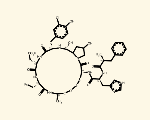 CC(C)C[C@@H]1NC(=O)[C@H](CC(=O)O)NC(=O)[C@H](Cc2ccc(O)c(Cl)c2)N[C@H](O)C2CC(O)CN2C(=O)[C@@H](NC(=O)[C@H](Cc2c[nH]cn2)NC(=O)[C@@H](C)Cc2ccccc2)CSSC[C@@H](C)NC1=O